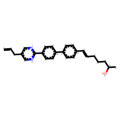 C=CCc1cnc(-c2ccc(-c3ccc(C=CCCCC(C)O)cc3)cc2)nc1